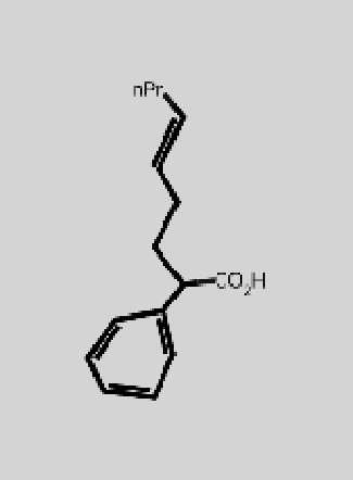 CCCC=CCCC(C(=O)O)c1ccccc1